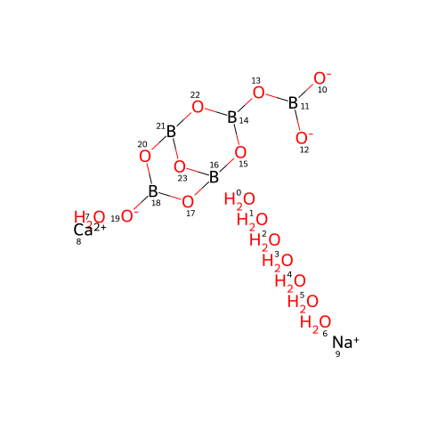 O.O.O.O.O.O.O.O.[Ca+2].[Na+].[O-]B([O-])OB1OB2OB([O-])OB(O1)O2